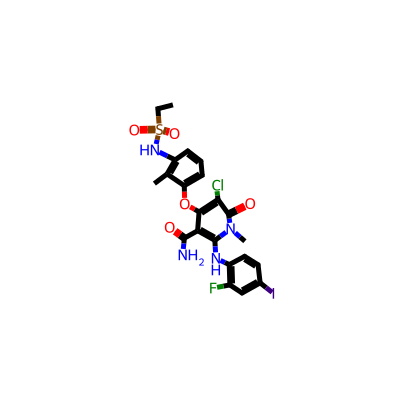 CCS(=O)(=O)Nc1cccc(Oc2c(C(N)=O)c(Nc3ccc(I)cc3F)n(C)c(=O)c2Cl)c1C